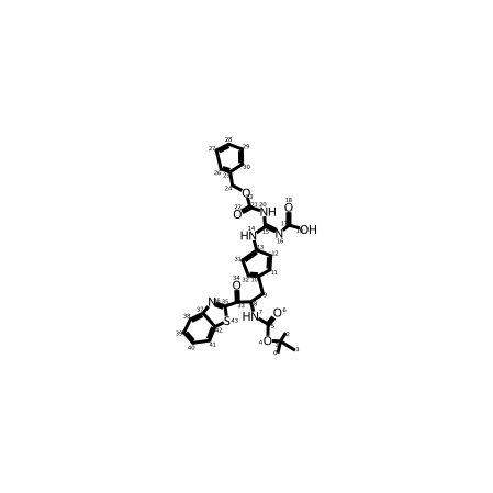 CC(C)(C)OC(=O)NC(Cc1ccc(NC(=NC(=O)O)NC(=O)OCc2ccccc2)cc1)C(=O)c1nc2ccccc2s1